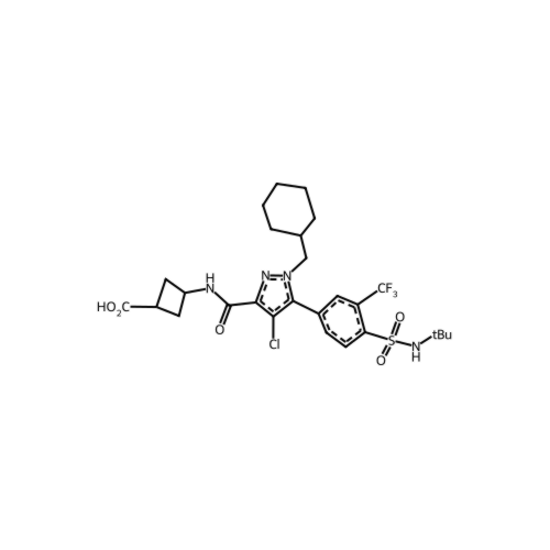 CC(C)(C)NS(=O)(=O)c1ccc(-c2c(Cl)c(C(=O)NC3CC(C(=O)O)C3)nn2CC2CCCCC2)cc1C(F)(F)F